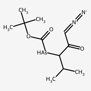 CC(C)C([AsH]C(=O)OC(C)(C)C)C(=O)C=[N+]=[N-]